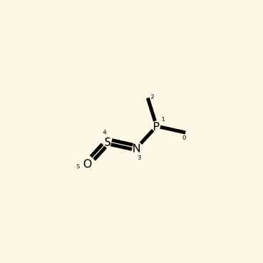 CP(C)N=S=O